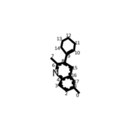 Cc1ccc2nc(C)c(C3=CCCCC3)cc2c1